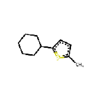 Cc1ccc(C2CCCCC2)s1